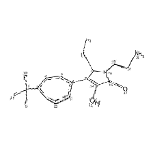 CCC1C(c2ccc(C(F)(F)F)cc2)=C(O)C(=O)N1CCN